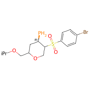 CC(C)OCC1C[C@@H](P)C(S(=O)(=O)c2ccc(Br)cc2)CO1